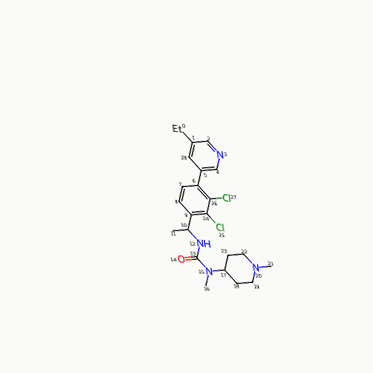 CCc1cncc(-c2ccc(C(C)NC(=O)N(C)C3CCN(C)CC3)c(Cl)c2Cl)c1